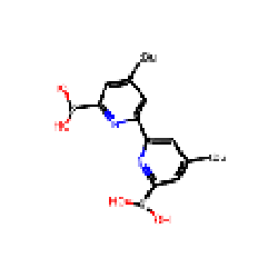 CC(C)(C)c1cc(B(O)O)nc(-c2cc(C(C)(C)C)cc(B(O)O)n2)c1